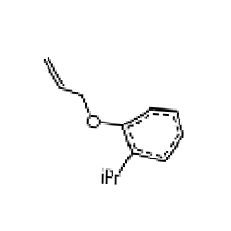 C=CCOc1ccccc1C(C)C